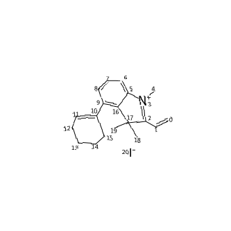 C=CC1=[N+](C)c2cccc(C3=CCCCC3)c2C1(C)C.[I-]